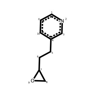 c1cncc(CCC2CO2)c1